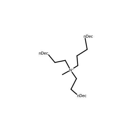 CCCCCCCCCCCCC[N+](C)(CCCCCCCCCCCC)CCCCCCCCCCCC